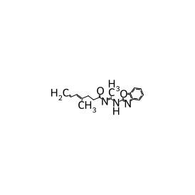 C=C/C=C(\C)CCC(=O)/N=C(\C)Nc1nc2ccccc2o1